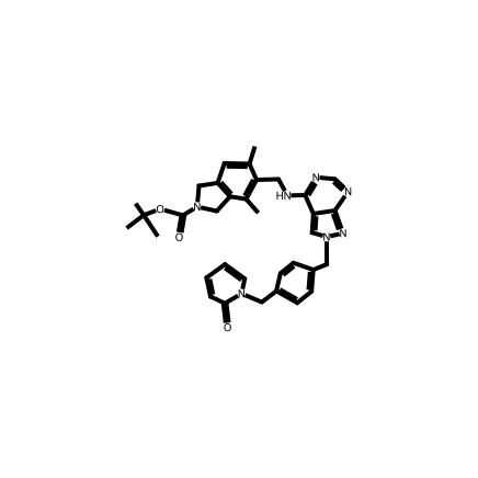 Cc1cc2c(c(C)c1CNc1ncnc3nn(Cc4ccc(Cn5ccccc5=O)cc4)cc13)CN(C(=O)OC(C)(C)C)C2